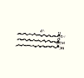 CCCCCCCCCCCCCCCCCC(=O)O.CCCCCCCCCCCCCCCCCC(=O)O.CCCCCCCCCCCCCCCCCC(=O)O.[Zn]